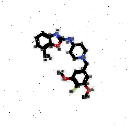 CCOc1cc(CN2CCC(Nc3nc4cccc([N+](=O)[O-])c4o3)CC2)cc(OCC)c1F